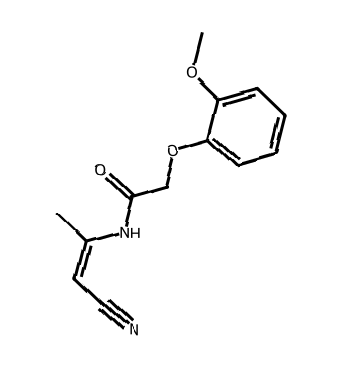 COc1ccccc1OCC(=O)N/C(C)=C\C#N